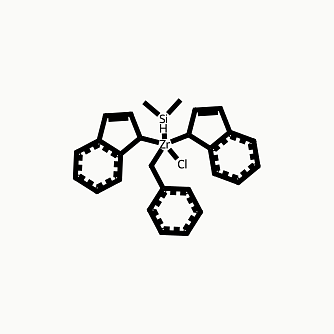 C[SiH](C)[Zr]([Cl])([CH2]c1ccccc1)([CH]1C=Cc2ccccc21)[CH]1C=Cc2ccccc21